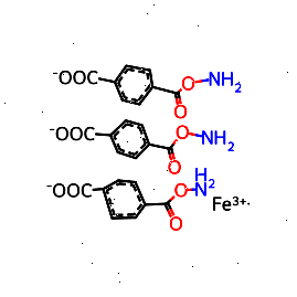 NOC(=O)c1ccc(C(=O)[O-])cc1.NOC(=O)c1ccc(C(=O)[O-])cc1.NOC(=O)c1ccc(C(=O)[O-])cc1.[Fe+3]